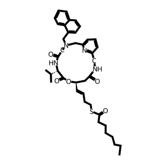 CCCCCCCC(=O)SCC/C=C/[C@@H]1CC(=O)NCc2cccc(n2)CN(Cc2cccc3ccccc23)CC(=O)N[C@@H](C(C)C)C(=O)O1